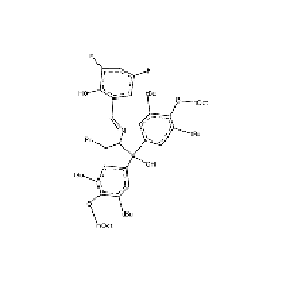 CCCCCCCCOc1c(C(C)(C)C)cc(C(O)(c2cc(C(C)(C)C)c(OCCCCCCCC)c(C(C)(C)C)c2)C(CC(C)C)N=Cc2cc(F)cc(F)c2O)cc1C(C)(C)C